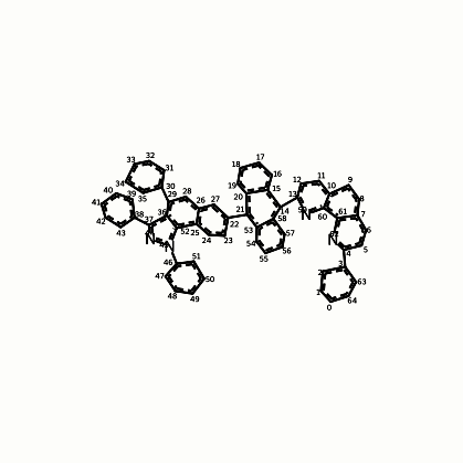 c1ccc(-c2ccc3ccc4ccc(-c5c6ccccc6c(-c6ccc7c(c6)cc(-c6ccccc6)c6c(-c8ccccc8)nn(-c8ccccc8)c67)c6ccccc56)nc4c3n2)cc1